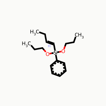 CC/C=C/[Si](OCCC)(OCCC)c1ccccc1